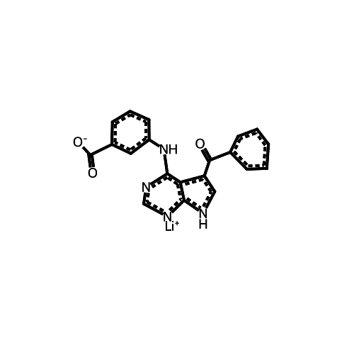 O=C([O-])c1cccc(Nc2ncnc3[nH]cc(C(=O)c4ccccc4)c23)c1.[Li+]